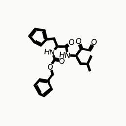 CC(C)CC(NC(=O)C(Cc1ccccc1)NC(=O)OCc1ccccc1)C(=O)C=O